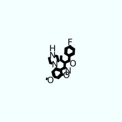 CCC(C(=O)c1ccc(F)cc1)c1noc2cc(OC)cc(N3CCNCC3)c12